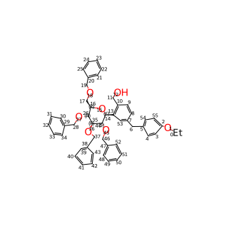 CCOc1ccc(Cc2ccc(CO)c([C@@H]3O[C@H](COCc4ccccc4)[C@@H](OCc4ccccc4)[C@H](OCc4ccccc4)[C@H]3OCc3ccccc3)c2)cc1